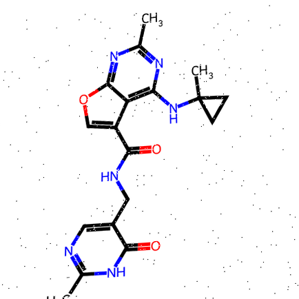 Cc1nc(NC2(C)CC2)c2c(C(=O)NCc3cnc(C)[nH]c3=O)coc2n1